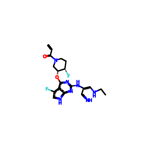 C=CC(=O)N1CC[C@H](F)[C@H](Oc2nc(N/C(C=N)=C/NCC)nc3[nH]cc(F)c23)C1